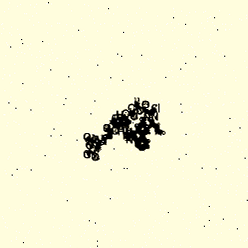 CCCCc1nc(Cl)c(C(=O)OC(C)OC(=O)O[C@@H]2CO[C@H]3[C@@H]2OC[C@H]3OC(=O)CCCC(CO[N+](=O)[O-])O[N+](=O)[O-])n1Cc1ccc(-c2ccccc2-c2c[nH]nn2)cc1